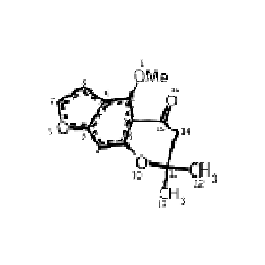 COc1c2c(cc3occc13)OC(C)(C)CC2=O